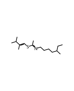 CCC(C)CCCC/N=C(\C)S/C=C(\C)C(C)C